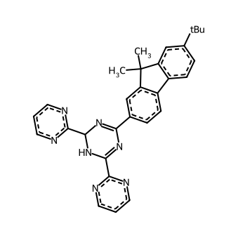 CC(C)(C)c1ccc2c(c1)C(C)(C)c1cc(C3=NC(c4ncccn4)NC(c4ncccn4)=N3)ccc1-2